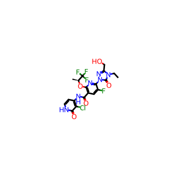 CCn1c(CO)nn(-c2nc(O[C@@H](C)C(F)(F)F)c(C(=O)Nc3cc[nH]c(=O)c3Cl)cc2F)c1=O